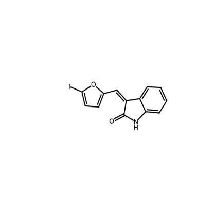 O=C1Nc2ccccc2C1=Cc1ccc(I)o1